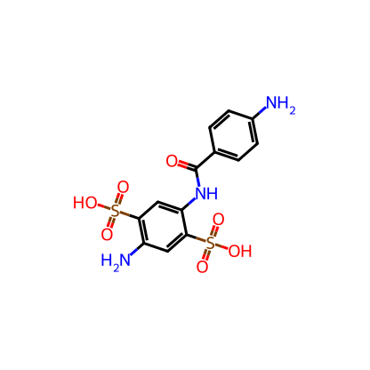 Nc1ccc(C(=O)Nc2cc(S(=O)(=O)O)c(N)cc2S(=O)(=O)O)cc1